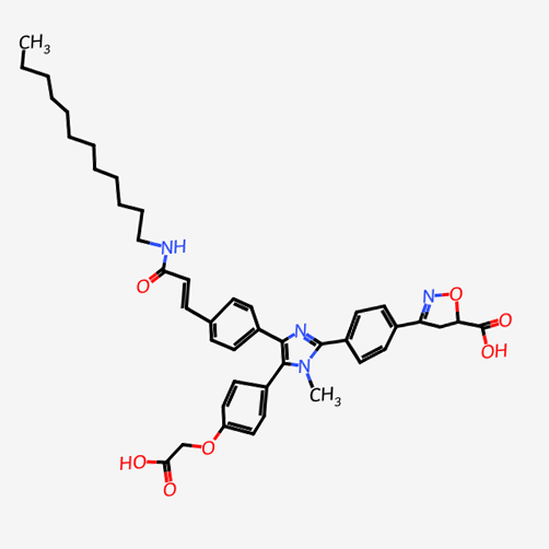 CCCCCCCCCCCCNC(=O)/C=C/c1ccc(-c2nc(-c3ccc(C4=NOC(C(=O)O)C4)cc3)n(C)c2-c2ccc(OCC(=O)O)cc2)cc1